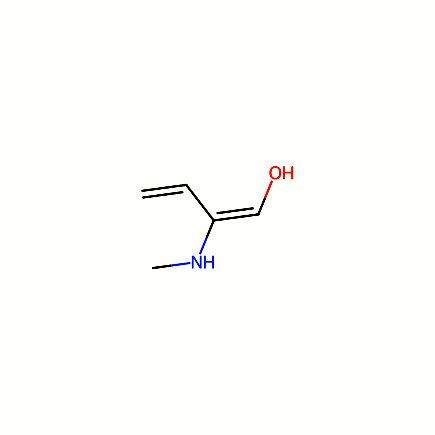 C=C/C(=C\O)NC